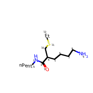 CCCCCNC(=O)C(CCCCN)CSCC